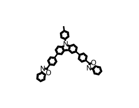 Cc1ccc(-n2c3ccc(-c4ccc(-c5nc6ccccc6o5)cc4)cc3c3cc(-c4ccc(-c5nc6ccccc6o5)cc4)ccc32)cc1